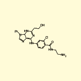 CC(C)N1C=NC2=C(Nc3ccc(C(=O)NCCN)c(Cl)c3)N=C(CCO)NC21